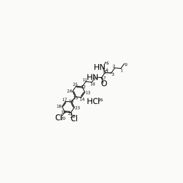 CCCC[C@H](NC)C(=O)NCCc1ccc(-c2ccc(Cl)c(Cl)c2)cc1.Cl